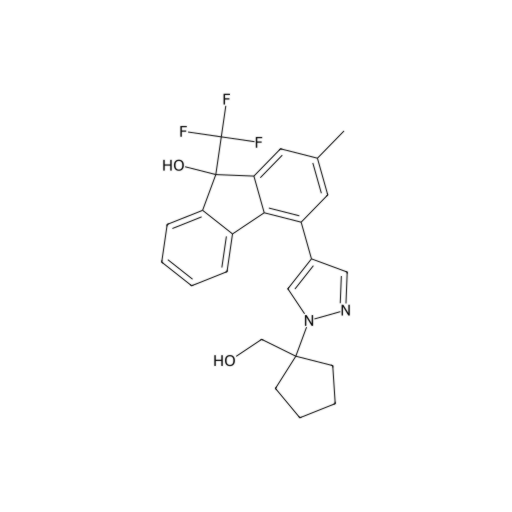 Cc1cc(-c2cnn(C3(CO)CCCC3)c2)c2c(c1)C(O)(C(F)(F)F)c1ccccc1-2